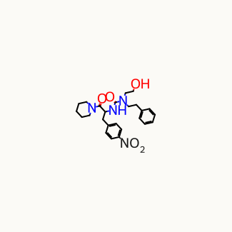 O=C(NC(Cc1ccc([N+](=O)[O-])cc1)C(=O)N1CCCCC1)N(CCO)CCc1ccccc1